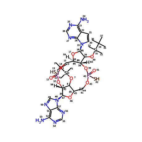 CC(C)(C)[Si](C)(C)OC1[C@H]2OP(=O)(S)OC[C@H]3O[C@@H](n4ccc5c(N)ncnc54)C(O[Si](C)(C)C(C)(C)C)[C@@H]3OP(=O)(S)OC[C@H]1O[C@H]2n1cnc2c(N)ncnc21